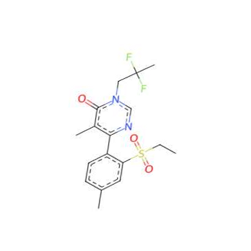 CCS(=O)(=O)c1cc(C)ccc1-c1ncn(CC(C)(F)F)c(=O)c1C